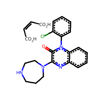 O=C(O)/C=C\C(=O)O.O=c1c(N2CCCNCC2)nc2ccccc2n1-c1ccccc1Cl